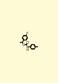 Cc1ccc(NC(=O)OC(C)c2ccc(F)cc2)cc1